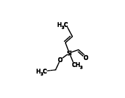 C/C=C/[Si](C)(C=O)OCC